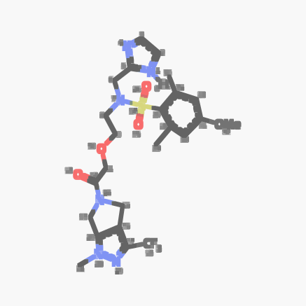 CCn1ccnc1CN(CCOCC(=O)N1Cc2c(C(F)(F)F)nn(C)c2C1)S(=O)(=O)c1c(C)cc(OC)cc1C